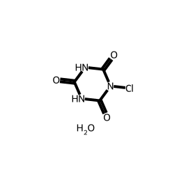 O.O=c1[nH]c(=O)n(Cl)c(=O)[nH]1